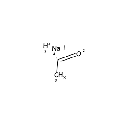 CC=O.[H+].[NaH]